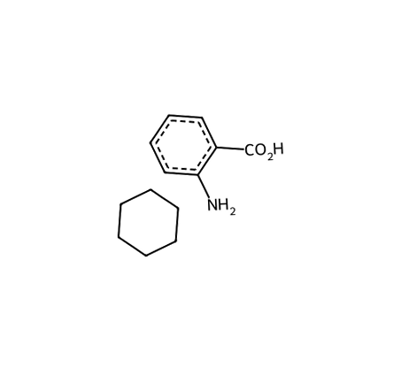 C1CCCCC1.Nc1ccccc1C(=O)O